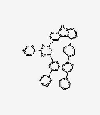 c1ccc(-c2ccc(-c3ccc(-c4cccc5oc6ccc(-c7nc(-c8ccccc8)nc(-c8cccc(-c9ccccc9)c8)n7)cc6c45)cc3)cc2)cc1